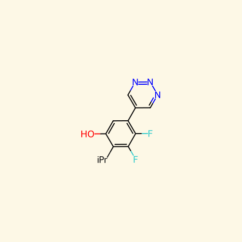 CC(C)c1c(O)cc(-c2cnnnc2)c(F)c1F